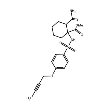 CC#CCOc1ccc(S(=O)(=O)NC2(C(=O)OC)CCCCC2C(N)=O)cc1